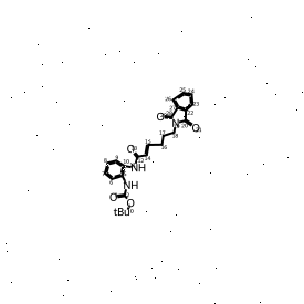 CC(C)(C)OC(=O)Nc1ccccc1NC(=O)/C=C/CCCN1C(=O)c2ccccc2C1=O